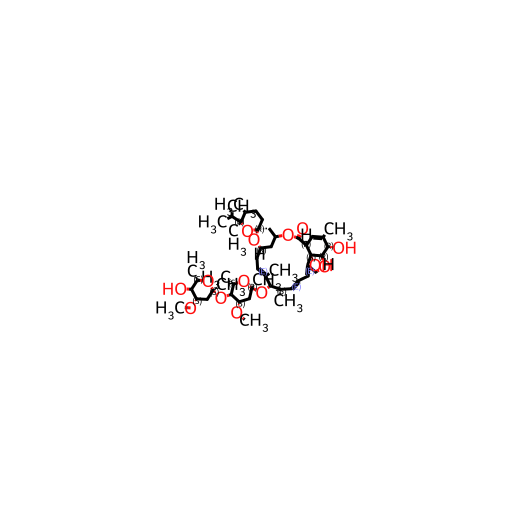 CO[C@H]1C[C@](C)(OC2[C@H](C)O[C@@](C)(OC3/C(C)=C/C[C@@H]4CC(C[C@]5(CCC(C)[C@@](C)(C(C)C)O5)O4)OC(=O)[C@@H]4C=C(C)[C@@H](O)[C@H]5OC/C(=C\C=C\[C@@H]3C)[C@]54O)C[C@@H]2OC)O[C@@H](C)C1O